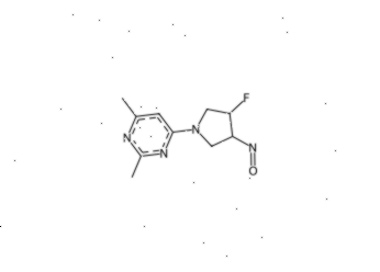 Cc1cc(N2CC(F)C(N=O)C2)nc(C)n1